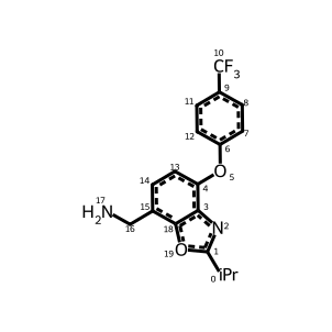 CC(C)c1nc2c(Oc3ccc(C(F)(F)F)cc3)ccc(CN)c2o1